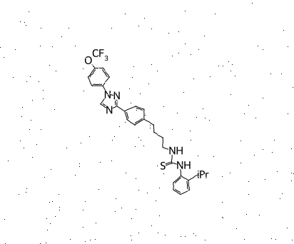 CC(C)c1ccccc1NC(=S)NCCCCc1ccc(-c2ncn(-c3ccc(OC(F)(F)F)cc3)n2)cc1